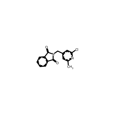 Cc1cc(CN2C(=O)c3ccccc3C2=O)cc(Cl)n1